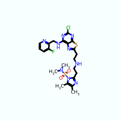 Cc1nc(CCNCCc2nc3c(NCc4ncccc4F)nc(Cl)nc3s2)n(S(=O)(=O)N(C)C)c1C